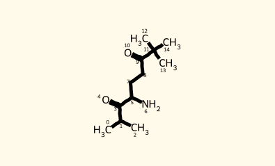 CC(C)C(=O)C(N)CCC(=O)C(C)(C)C